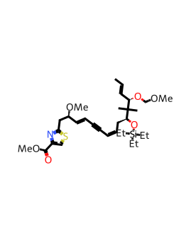 C/C=C/[C@H](OCOC)C(C)(C)[C@H](C/C=C\C#C/C=C/[C@@H](Cc1nc(C(=O)OC)cs1)OC)O[Si](CC)(CC)CC